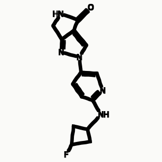 O=C1NCc2nn(-c3ccc(NC4CC(F)C4)nc3)cc21